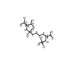 CC(C)N(CCCCC(C)(C)CN(C(C)C)C(C)C)CC(C)(C)C